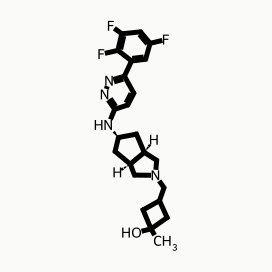 CC1(O)CC(CN2C[C@H]3C[C@H](Nc4ccc(-c5cc(F)cc(F)c5F)nn4)C[C@H]3C2)C1